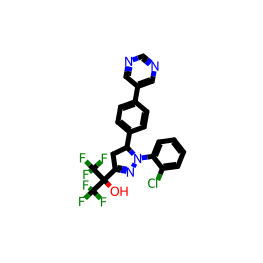 OC(C1=NN(c2ccccc2Cl)C(c2ccc(-c3cncnc3)cc2)C1)(C(F)(F)F)C(F)(F)F